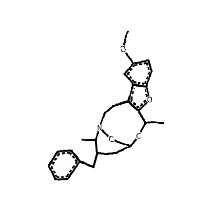 COc1ccc2oc3c(c2c1)CCN1CC(CC3C)CC(Cc2ccccc2)C1C